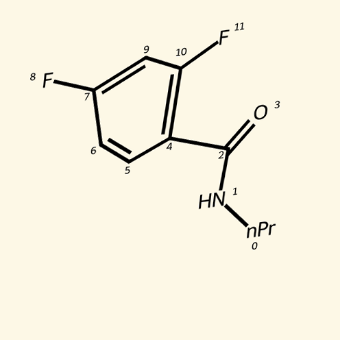 CCCNC(=O)c1ccc(F)cc1F